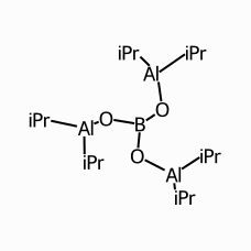 C[CH](C)[Al]([O]B([O][Al]([CH](C)C)[CH](C)C)[O][Al]([CH](C)C)[CH](C)C)[CH](C)C